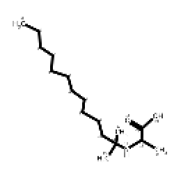 CCCCCCCCCCCC(C)(C)NC(C)C(=O)O